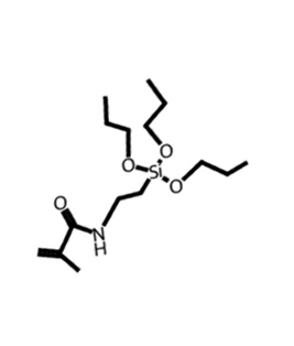 C=C(C)C(=O)NCC[Si](OCCC)(OCCC)OCCC